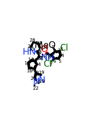 COc1c(Cl)ccc(Cl)c1C(=O)N[C@@H](c1cccc(-c2cnn(C)c2)c1)[C@@H]1CCCCN1